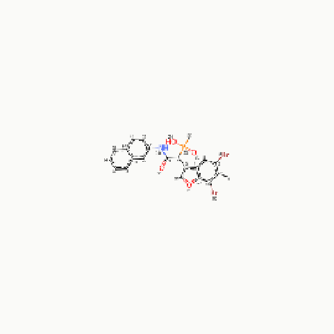 Cc1c(Br)cc2c(C(C(=O)Nc3ccc4ccccc4c3)P(C)(=O)O)coc2c1Br